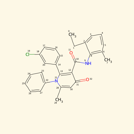 CCc1cccc(C)c1NC(=O)c1c(-c2cccc(Cl)c2)n(-c2ccccc2)c(C)cc1=O